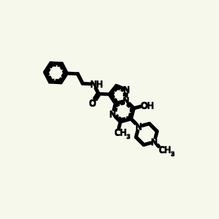 Cc1nc2c(C(=O)NCCc3ccccc3)cnn2c(O)c1N1CCN(C)CC1